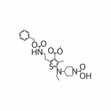 CCN(c1sc(CCNC(=O)OCc2ccccc2)c(C(=O)OC)c1C)C1CCN(C(=O)O)CC1